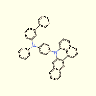 c1ccc(-c2cccc(N(c3ccccc3)c3ccc(N4c5cc6ccccc6cc5-c5cccc6cccc4c56)cc3)c2)cc1